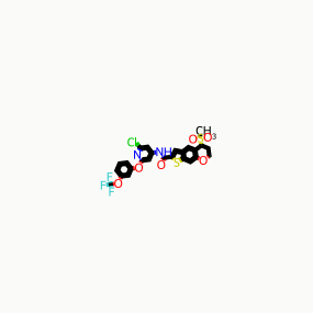 CS(=O)(=O)C1CCOc2cc3sc(C(=O)Nc4cc(Cl)nc(Oc5cccc(OC(F)(F)F)c5)c4)cc3cc21